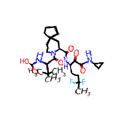 CC(F)(F)CCC(NC(=O)C1CC2(CCCC2)CCN1C(=O)C(NC(=O)O)C(C)(C)C)C(=O)C(=O)NC1CC1